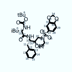 CCC(C)[C@H](NC(=O)OC(C)(C)C)C(=O)N[C@@H](Cc1ccccc1)[C@H](O)CN(CC(C)C)S(=O)(=O)c1ccc2c(c1)OCO2